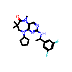 CC(Nc1ncc2c(n1)N(C1CCCC1)CC(C)(C)C(=O)N2C)c1cc(F)cc(F)c1